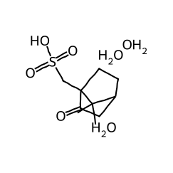 CC1(C)C2CCC1(CS(=O)(=O)O)C(=O)C2.O.O.O